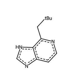 CC(C)(C)Cc1nccc2nc[nH]c12